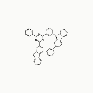 c1ccc(-c2ccc3c4ccccc4n(-c4cccc(-c5nc(-c6ccccc6)nc(-c6ccc7c(c6)sc6ccccc67)n5)c4)c3c2)cc1